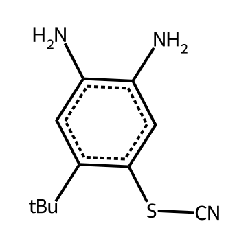 CC(C)(C)c1cc(N)c(N)cc1SC#N